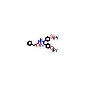 CC(C)Oc1ccc(-c2nnc(OCCc3ccccc3)nc2-c2ccc(OC(C)C)cc2)cc1